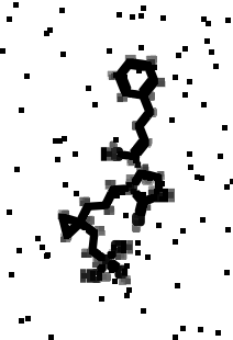 O=C1NC[C@@H](C(O)=CCCc2ccccc2)N1CCCC1(CCP(=O)(O)O)CC1